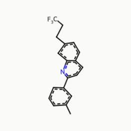 Cc1cccc(-c2ccc3ccc(CCC(F)(F)F)cc3n2)c1